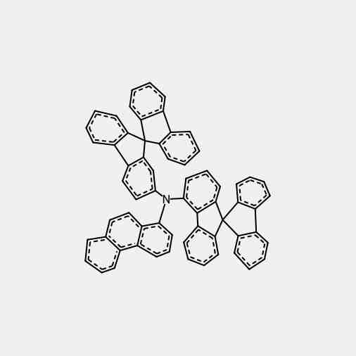 c1ccc2c(c1)-c1ccccc1C21c2ccccc2-c2ccc(N(c3cccc4c3-c3ccccc3C43c4ccccc4-c4ccccc43)c3cccc4c3ccc3ccccc34)cc21